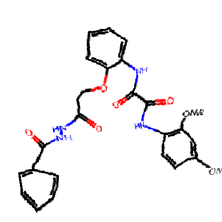 COc1ccc(NC(=O)C(=O)Nc2ccccc2OCC(=O)NNC(=O)c2ccccc2)c(OC)c1